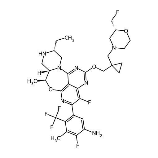 CC[C@@H]1CN2c3nc(OCC4(CN5CCO[C@@H](CF)C5)CC4)nc4c(F)c(-c5cc(N)c(F)c(C)c5C(F)(F)F)nc(c34)O[C@@H](C)[C@@H]2CN1